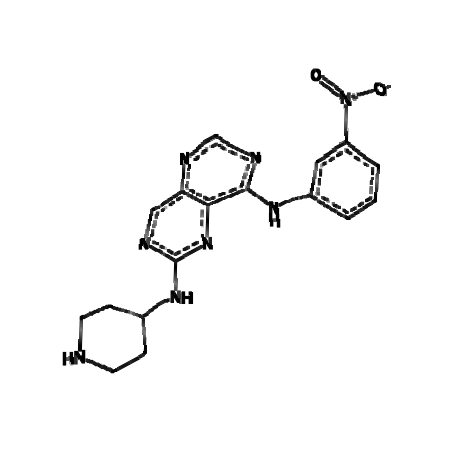 O=[N+]([O-])c1cccc(Nc2ncnc3cnc(NC4CCNCC4)nc23)c1